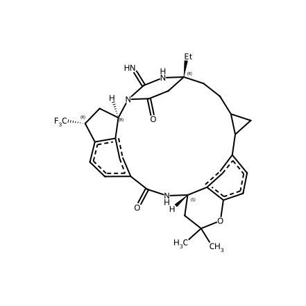 CC[C@]12CCC3CC3c3ccc4c(c3)[C@H](CC(C)(C)O4)NC(=O)c3ccc4c(c3)[C@@H](C[C@H]4C(F)(F)F)N(C(=N)N1)C(=O)C2